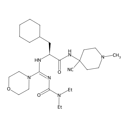 CCN(CC)C(=O)/N=C(/N[C@@H](CC1CCCCC1)C(=O)NC1(C#N)CCN(C)CC1)N1CCOCC1